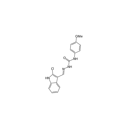 COc1ccc(NC(=O)NN=Cc2c(Cl)[nH]c3ccccc23)cc1